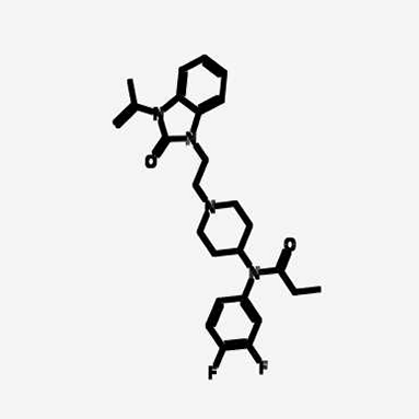 C=C(C)n1c(=O)n(CCN2CCC(N(C(=O)CC)c3ccc(F)c(F)c3)CC2)c2ccccc21